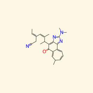 C/C=C(\C=C(\C)C(C)C1=C2N=C(N(C)C)N=C2C2=CC=CC(C)C=C2C1=O)CC#N